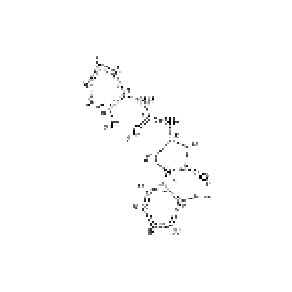 O=C(Nc1ccccc1F)NC1CC(=O)N(c2ccccc2F)C1